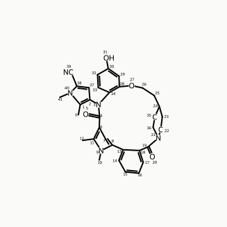 Cc1c(N2C(=O)c3cc(n(C)c3C)-c3ccccc3C(=O)N3CCC(CCOc4cc(O)ccc42)CC3)cc(C#N)n1C